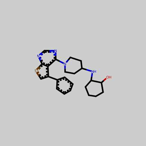 OC1CCCCC1NC1CCN(c2ncnc3scc(-c4ccccc4)c23)CC1